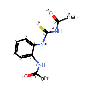 CCCC(=O)Nc1ccccc1NC(=S)NC(=O)OC